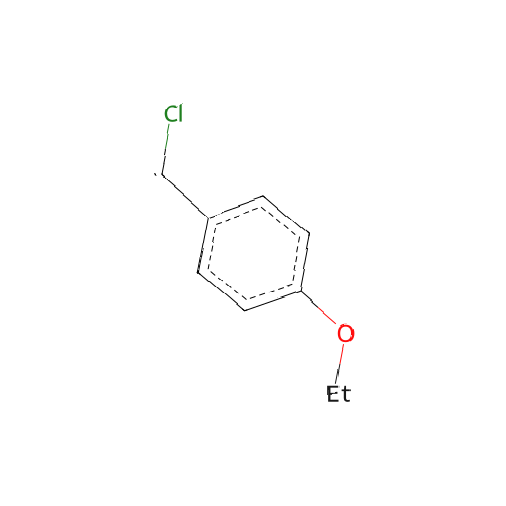 CCOc1ccc([CH]Cl)cc1